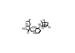 CC(C)C[C@H](N)[C@](O)(CC1C=C(O[C@@H]2C[C@H]3C[C@@H]([C@@H]2C)C3(C)C)C=CN1)C(=O)O